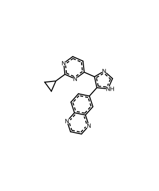 c1cc(-c2nc[nH]c2-c2ccc3nccnc3c2)nc(C2CC2)n1